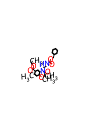 CCOC(=O)c1cc2c(cc1C)OC(C)(C)C(=O)N2CCNC(=O)OCc1ccccc1